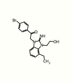 CCc1cccc2c1n(CCO)c(=N)n2CC(=O)c1ccc(Br)cc1